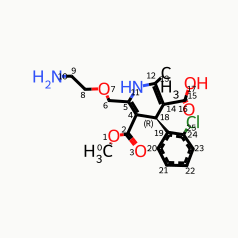 COC(=O)C1=C(COCCN)NC(C)=C(C(=O)O)[C@H]1c1ccccc1Cl